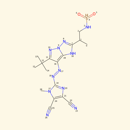 CC(CN[SH](=O)=O)c1nn2nc(C(C)(C)C)c(N=Nc3nc(C#N)c(C#N)n3C)c2[nH]1